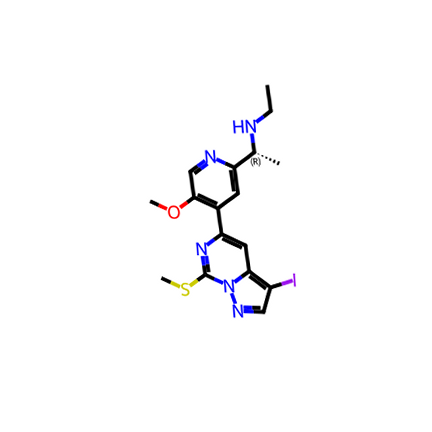 CCN[C@H](C)c1cc(-c2cc3c(I)cnn3c(SC)n2)c(OC)cn1